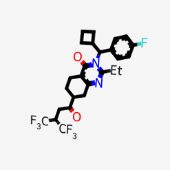 CCc1nc2c(c(=O)n1C(c1ccc(F)cc1)C1CCC1)CCC(C(=O)CC(C(F)(F)F)C(F)(F)F)C2